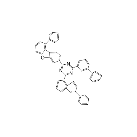 c1ccc(-c2cccc(-c3nc(-c4ccc5c(c4)oc4cccc(-c6ccccc6)c45)nc(-c4cccc5cc(-c6ccccc6)ccc45)n3)c2)cc1